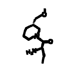 CCC(N)C(=O)N1CCC[C@H](COC)C1